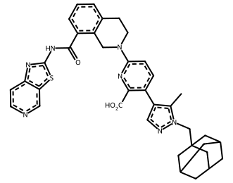 Cc1c(-c2ccc(N3CCc4cccc(C(=O)Nc5nc6ccncc6s5)c4C3)nc2C(=O)O)cnn1CC12CC3CC(CC(C3)C1)C2